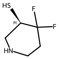 FC1(F)CCNC[C@H]1S